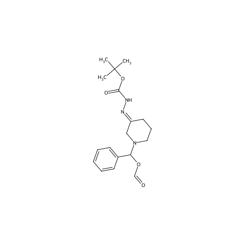 CC(C)(C)OC(=O)NN=C1CCCN(C(OC=O)c2ccccc2)C1